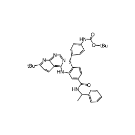 CC(NC(=O)c1ccc(Sc2ccc(NC(=O)OC(C)(C)C)cc2)c(Nc2ncnc3nc(C(C)(C)C)ccc23)c1)c1ccccc1